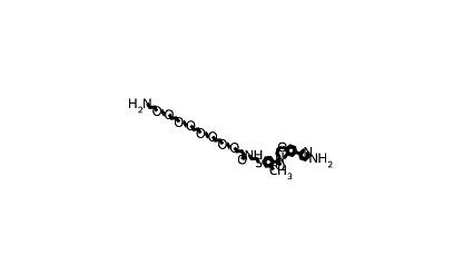 Cc1cc(SCCNC(=O)CCOCCOCCOCCOCCOCCOCCOCCOCCN)ccc1C(=O)N1CCOc2ccc(-c3ccc(N)nc3)cc2C1